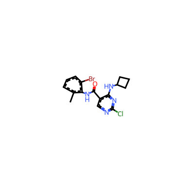 Cc1cccc(Br)c1NC(=O)c1cnc(Cl)nc1NC1CCC1